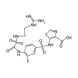 N=C(N)NCCNS(=O)(=O)C(=O)Nc1ccc(S(=O)(=O)Nc2scnc2C(=O)O)cc1F